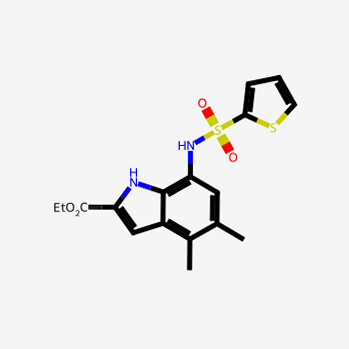 CCOC(=O)c1cc2c(C)c(C)cc(NS(=O)(=O)c3cccs3)c2[nH]1